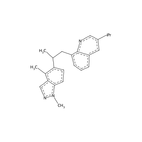 Cc1c(C(C)Cc2cccc3cc(C(C)C)cnc23)ccc2c1cnn2C